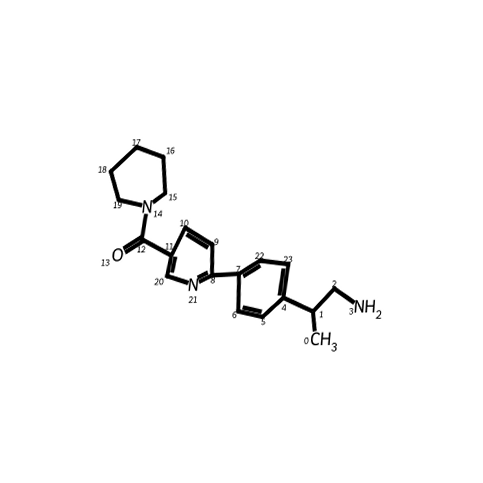 CC(CN)c1ccc(-c2ccc(C(=O)N3CCCCC3)cn2)cc1